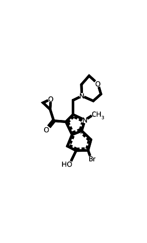 Cn1c(CN2CCOCC2)c(C(=O)C2CO2)c2cc(O)c(Br)cc21